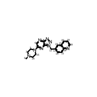 CN1CCN(c2cnc3nnn(Cc4ccc5ncccc5c4)c3n2)CC1